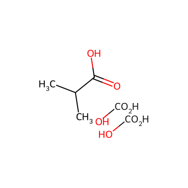 CC(C)C(=O)O.O=C(O)O.O=C(O)O